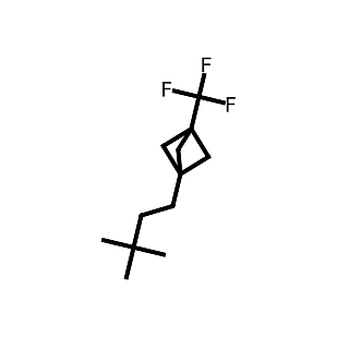 CC(C)(C)CCC12CC(C(F)(F)F)(C1)C2